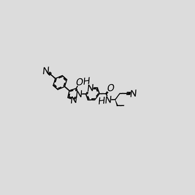 CC[C@H](CC#N)NC(=O)c1ccc(-n2ncc(-c3ccc(C#N)cc3)c2O)nc1